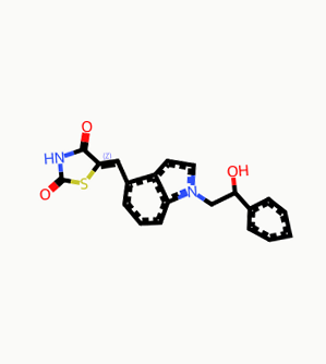 O=C1NC(=O)/C(=C/c2cccc3c2ccn3CC(O)c2ccccc2)S1